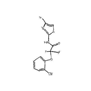 N#Cc1ccccc1OC(F)(F)C(=O)Nc1nc(Br)cs1